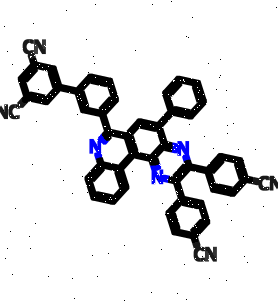 N#Cc1ccc(-c2nc3c(-c4ccccc4)cc4c(-c5cccc(-c6cc(C#N)cc(C#N)c6)c5)nc5ccccc5c4c3nc2-c2ccc(C#N)cc2)cc1